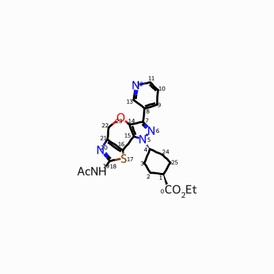 CCOC(=O)[C@H]1CC[C@H](n2nc(-c3cccnc3)c3c2-c2sc(NC(C)=O)nc2CO3)CC1